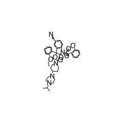 CCOc1ccccc1C1(OC(=O)N2CCC(N3CCN(C(C)C)CC3)CC2)C(=O)N(S(=O)(=O)c2ccccc2OC)c2ccc(C#N)cc21